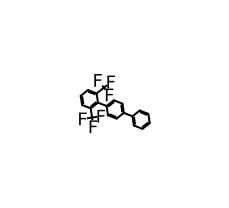 FC(F)(F)c1cccc(C(F)(F)F)c1-c1ccc(-c2ccccc2)cc1